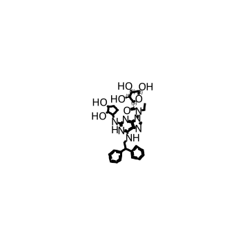 CCN(C(=O)[C@H]1O[C@@H](O)[C@H](O)[C@@H]1O)n1cnc2c(NCC(c3ccccc3)c3ccccc3)nc(NC3CCC(O)C3O)nc21